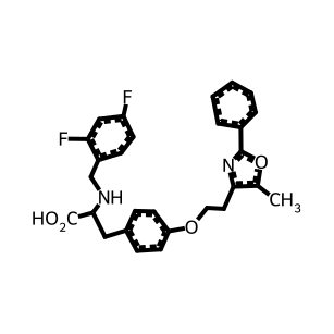 Cc1oc(-c2ccccc2)nc1CCOc1ccc(CC(NCc2ccc(F)cc2F)C(=O)O)cc1